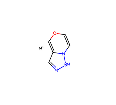 C1=CN2NN=CC2=CO1.[H+]